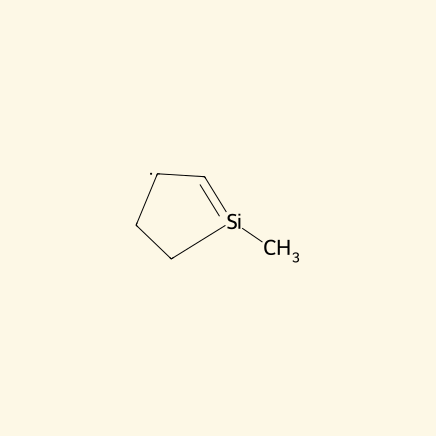 C[Si]1=C[CH]CC1